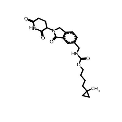 CC1(CCCCOC(=O)NCc2ccc3c(c2)C(=O)N(C2CCC(=O)NC2=O)C3)CC1